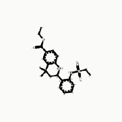 CCOC(=O)c1ccc2c(c1)C(C)(C)CC(c1ccccc1NS(=O)(=O)CC)N2